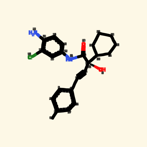 Cc1ccc(C#C[C@@](O)(C(=O)Nc2ccc(N)c(Cl)c2)C2CCCCC2)cc1